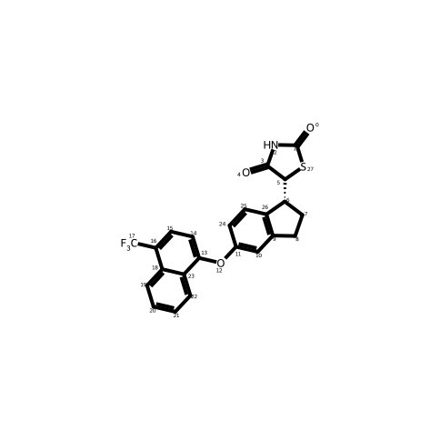 O=C1NC(=O)C([C@@H]2CCc3cc(Oc4ccc(C(F)(F)F)c5ccccc45)ccc32)S1